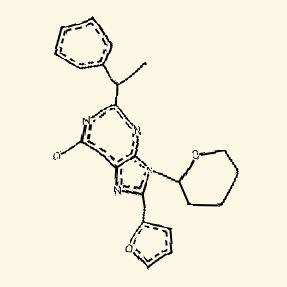 CC(c1ccccc1)c1nc(Cl)c2nc(-c3ccco3)n(C3CCCCO3)c2n1